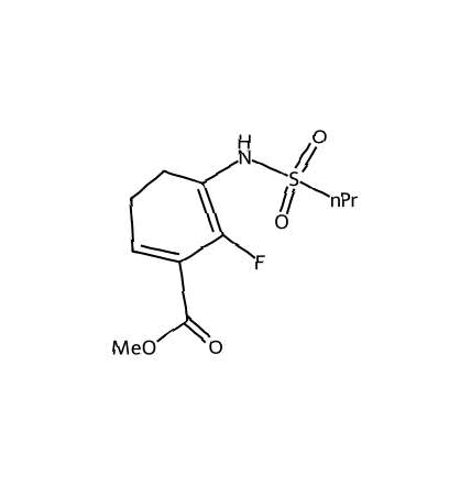 CCCS(=O)(=O)NC1=C(F)C(C(=O)OC)=CCC1